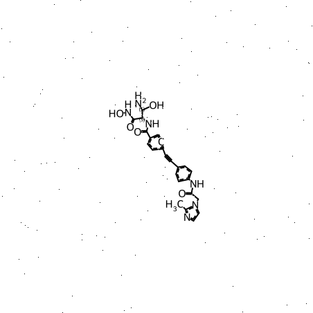 Cc1nccn1CC(=O)Nc1ccc(C#Cc2ccc(C(=O)N[C@H](C(=O)NO)[C@@H](N)O)cc2)cc1